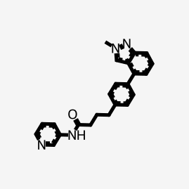 Cn1cc2c(-c3ccc(CCCC(=O)Nc4cccnc4)cc3)cccc2n1